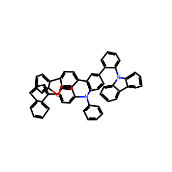 c1ccc(N(c2ccc(-c3cccc4ccccc34)cc2)c2ccc(-c3ccccc3-n3c4ccccc4c4ccccc43)cc2-c2ccc3c(c2)oc2ccccc23)cc1